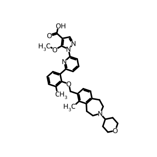 COc1c(C(=O)O)cnn1-c1cccc(-c2cccc(C)c2OCc2ccc3c(c2C)CCN(C2CCOCC2)CC3)n1